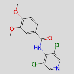 COc1ccc(C(=O)Nc2c(Cl)cncc2Cl)cc1OC